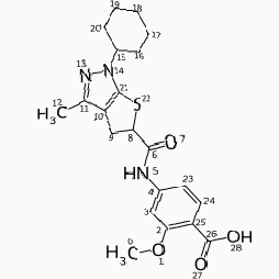 COc1cc(NC(=O)C2Cc3c(C)nn(C4CCCCC4)c3S2)ccc1C(=O)O